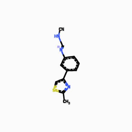 Cc1nc(-c2cccc(/N=C/NC#N)c2)cs1